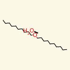 C=C.CCCCCCCCCCOCCCCCCCCCC.O